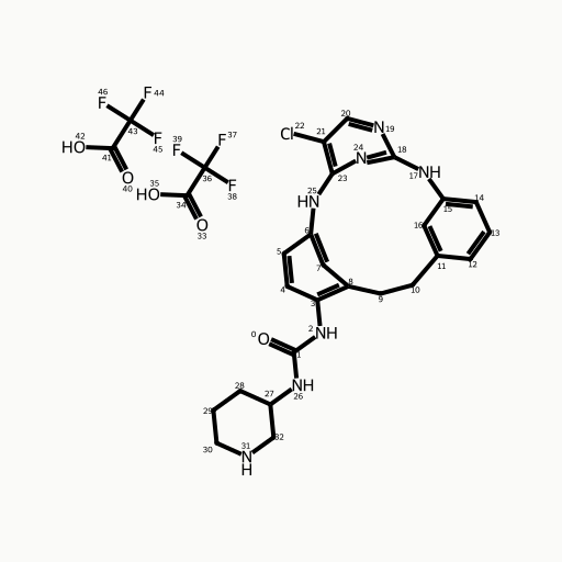 O=C(Nc1ccc2cc1CCc1cccc(c1)Nc1ncc(Cl)c(n1)N2)NC1CCCNC1.O=C(O)C(F)(F)F.O=C(O)C(F)(F)F